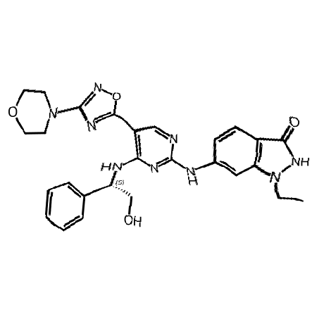 CCn1[nH]c(=O)c2ccc(Nc3ncc(-c4nc(N5CCOCC5)no4)c(N[C@H](CO)c4ccccc4)n3)cc21